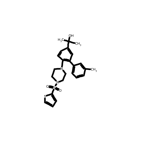 Cc1cccc(-c2cc(C(C)(C)O)ccc2N2CCN(S(=O)(=O)c3cccs3)CC2)c1